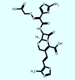 Cc1ncsc1C=CC1=C(C(=O)O)N2C(=O)C(NC(=O)C(=NOCC(=O)O)c3csc(N)n3)[C@@H]2SC1